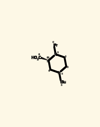 CC(C)N1CCN(C(C)(C)C)C[C@@H]1C(=O)O